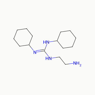 NCCN/C(=N/C1CCCCC1)NC1CCCCC1